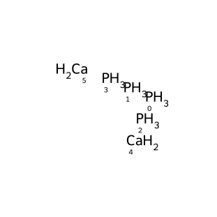 P.P.P.P.[CaH2].[CaH2]